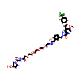 COc1cnc(C(=O)NCc2cccc(CC(=O)NCCOCCOCCOCCOCC(=O)NCC(=O)N3CC[C@@H](O)C3)c2)cc1/C=C/[C@H]1CC[C@H](C(F)(F)F)CC1